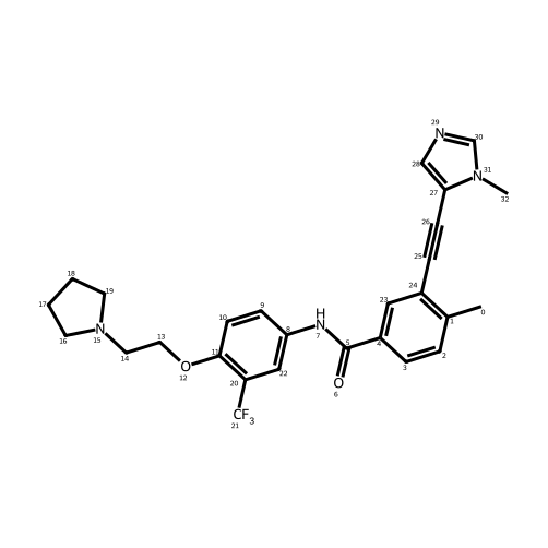 Cc1ccc(C(=O)Nc2ccc(OCCN3CCCC3)c(C(F)(F)F)c2)cc1C#Cc1cncn1C